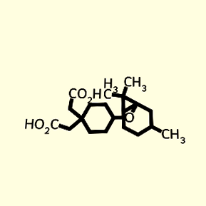 CC1CCC2C(C)(C)C2(OC2CCC(CC(=O)O)(CC(=O)O)CC2)C1